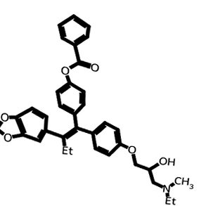 CCC(=C(c1ccc(OCC(O)CN(C)CC)cc1)c1ccc(OC(=O)c2ccccc2)cc1)c1ccc2c(c1)OCO2